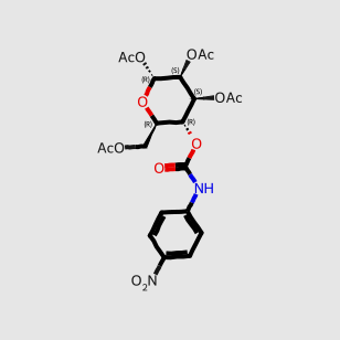 CC(=O)OC[C@H]1O[C@H](OC(C)=O)[C@@H](OC(C)=O)[C@@H](OC(C)=O)[C@@H]1OC(=O)Nc1ccc([N+](=O)[O-])cc1